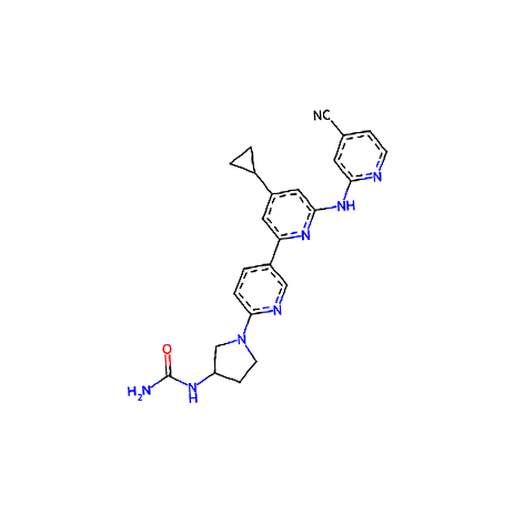 N#Cc1ccnc(Nc2cc(C3CC3)cc(-c3ccc(N4CCC(NC(N)=O)C4)nc3)n2)c1